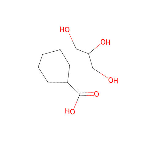 O=C(O)C1CCCCC1.OCC(O)CO